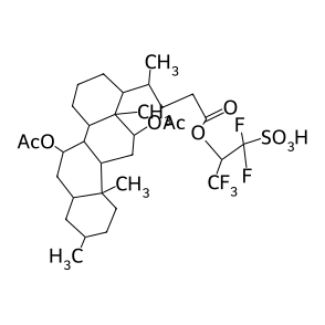 CC(=O)OC1CC2CC(C)CCC2(C)C2CC(OC(C)=O)C3(C)C(C(C)CCC(=O)OC(C(F)(F)F)C(F)(F)S(=O)(=O)O)CCCC3C12